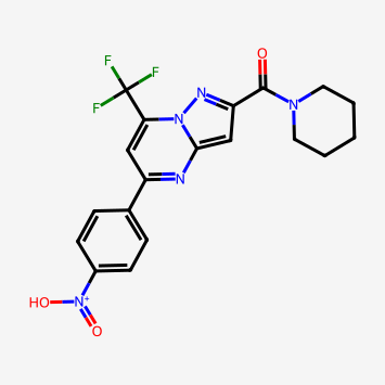 O=C(c1cc2nc(-c3ccc([N+](=O)O)cc3)cc(C(F)(F)F)n2n1)N1CCCCC1